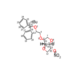 CC(C)(C)[Si](OCCO[C@H]1CO[C@H]2[C@@H]1OC[C@H]2O[N+](=O)[O-])(c1ccccc1)c1ccccc1